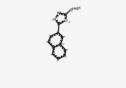 CCCCCCCc1nnc(-c2ccc3ccccc3c2)o1